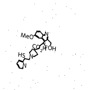 COc1ccc2ncc(CO)c([C@@H](F)CCC3(C(=O)O)CCN(CC(S)c4ccccn4)CC3)c2c1